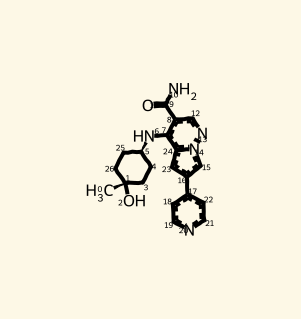 C[C@]1(O)CC[C@H](Nc2c(C(N)=O)cnn3cc(-c4ccncc4)cc23)CC1